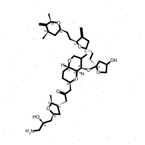 C=C1C[C@H](CC[C@]2(O[C@@H]3C(C)CO[C@H]4CC[C@H](CC(=O)C[C@@H]5C[C@@H](C[C@H](O)CN)O[C@H]5C)O[C@@H]43)CC(O)CO2)O[C@H]1CC[C@H]1C[C@@H](C)C(=C)[C@@H](C)O1